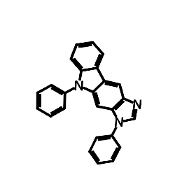 c1ccc(-n2cnc3cc4c5ccccc5n(-c5ccccc5)c4cc32)cc1